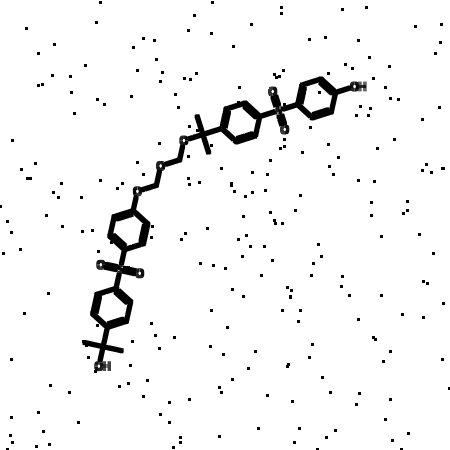 CC(C)(O)c1ccc(S(=O)(=O)c2ccc(OCOCOC(C)(C)c3ccc(S(=O)(=O)c4ccc(O)cc4)cc3)cc2)cc1